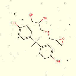 CC(C)(c1ccc(O)cc1)c1ccc(O)cc1.OCC(O)COCC1CO1